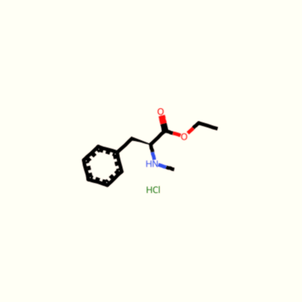 CCOC(=O)[C@H](Cc1ccccc1)NC.Cl